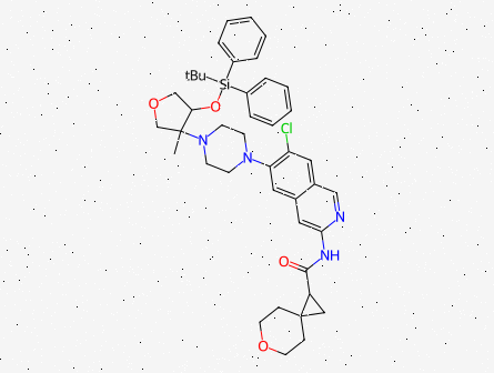 CC1(N2CCN(c3cc4cc(NC(=O)C5CC56CCOCC6)ncc4cc3Cl)CC2)COCC1O[Si](c1ccccc1)(c1ccccc1)C(C)(C)C